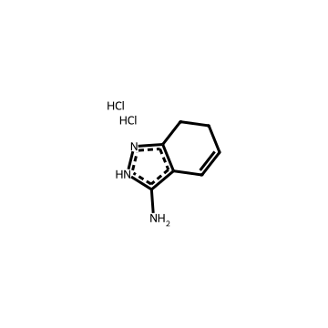 Cl.Cl.Nc1[nH]nc2c1C=CCC2